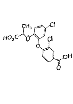 CC(Oc1ccc(Cl)cc1Oc1ccc(S(=O)O)cc1Cl)C(=O)O